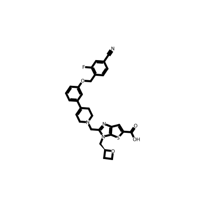 N#Cc1ccc(COc2cccc(C3=CCN(Cc4nc5cc(C(=O)O)sc5n4C[C@@H]4CCO4)CC3)c2)c(F)c1